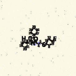 CC(OC(/C=C/Sc1ccc(F)cc1)=N\Sc1ccccc1)C1CCCCC1